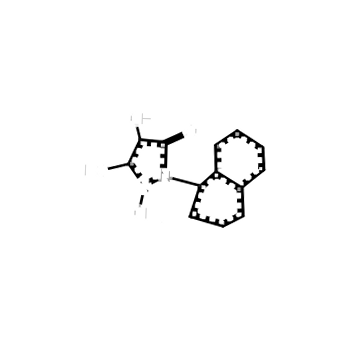 Cc1c(C)n(C)n(-c2cccc3ccccc23)c1=O